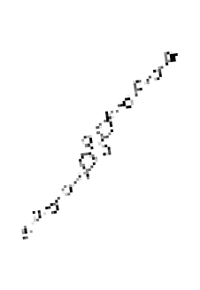 O=C(C(=O)c1ccc(OCCOCCOCCOCCBr)cc1)c1ccc(OCCOCCOCCOCCBr)cc1